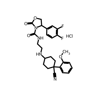 COc1ccccc1C1(C#N)CCC(NCCNC(=O)N2C(=O)OCC2c2ccc(F)c(F)c2)CC1.Cl